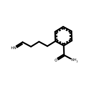 N=[C]CCCc1ccccc1C(N)=O